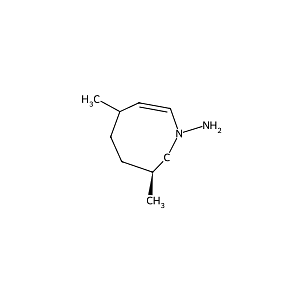 CC1/C=C\N(N)C[C@@H](C)CC1